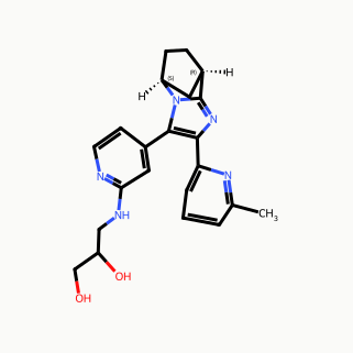 Cc1cccc(-c2nc3n(c2-c2ccnc(NCC(O)CO)c2)[C@H]2CC[C@@H]3C2)n1